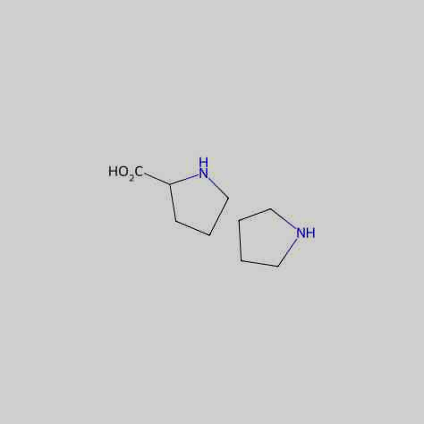 C1CCNC1.O=C(O)C1CCCN1